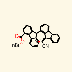 CCCCOC(=O)c1cccc2c1-c1ccccc1C2c1cccc2c1C(=C(C#N)C#N)c1ccccc1-2